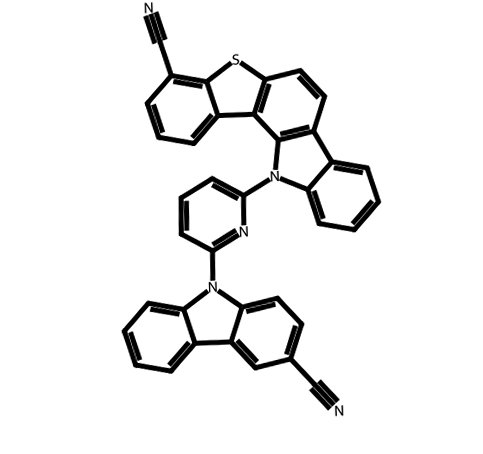 N#Cc1ccc2c(c1)c1ccccc1n2-c1cccc(-n2c3ccccc3c3ccc4sc5c(C#N)cccc5c4c32)n1